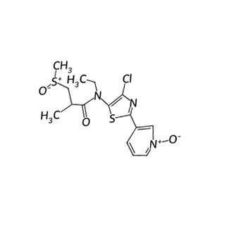 CCN(C(=O)C(C)C[S+](C)[O-])c1sc(-c2ccc[n+]([O-])c2)nc1Cl